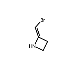 BrC=C1CCN1